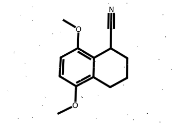 COc1ccc(OC)c2c1CCCC2C#N